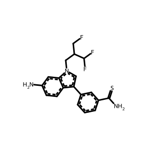 NC(=S)c1cccc(-c2cn(CC(CF)C(F)F)c3cc(N)ccc23)c1